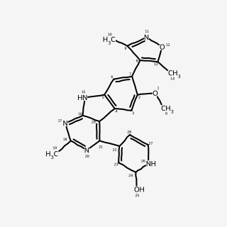 COc1cc2c(cc1-c1c(C)noc1C)[nH]c1nc(C)nc(C3=CC(O)NC=C3)c12